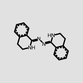 c1ccc2c(c1)CCN/C2=N\N=C1/NCCc2ccccc21